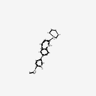 COc1ccc(-c2ccc3nc(N4CCCCC4)ccc3c2)cn1